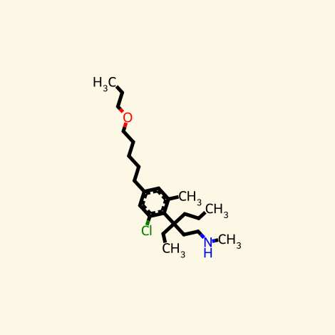 CCCOCCCCCc1cc(C)c(C(CC)(CCC)CCNC)c(Cl)c1